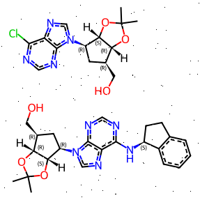 CC1(C)O[C@@H]2[C@@H](CO)C[C@@H](n3cnc4c(Cl)ncnc43)[C@@H]2O1.CC1(C)O[C@@H]2[C@@H](CO)C[C@@H](n3cnc4c(N[C@H]5CCc6ccccc65)ncnc43)[C@@H]2O1